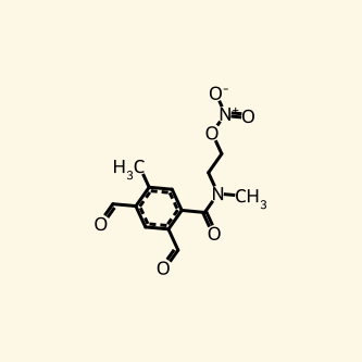 Cc1cc(C(=O)N(C)CCO[N+](=O)[O-])c(C=O)cc1C=O